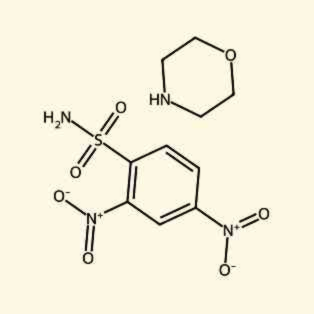 C1COCCN1.NS(=O)(=O)c1ccc([N+](=O)[O-])cc1[N+](=O)[O-]